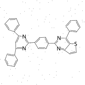 c1ccc(-c2cc(-c3ccccc3)nc(-c3ccc(-c4nc(-c5ccccc5)c5sccc5n4)cc3)n2)cc1